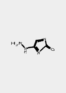 NNC1=NC(=O)N=C1